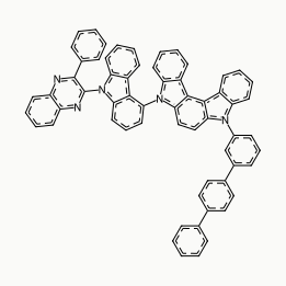 c1ccc(-c2ccc(-c3cccc(-n4c5ccccc5c5c6c7ccccc7n(-c7cccc8c7c7ccccc7n8-c7nc8ccccc8nc7-c7ccccc7)c6ccc54)c3)cc2)cc1